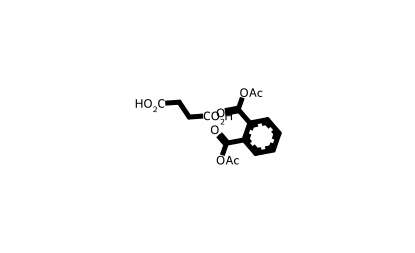 CC(=O)OC(=O)c1ccccc1C(=O)OC(C)=O.O=C(O)CCC(=O)O